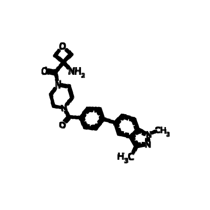 Cc1nn(C)c2ccc(-c3ccc(C(=O)N4CCN(C(=O)C5(N)COC5)CC4)cc3)cc12